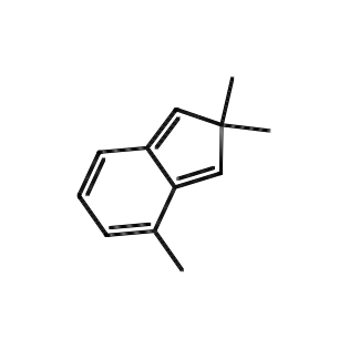 Cc1cccc2c1=CC(C)(C)C=2